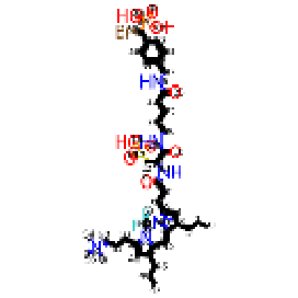 CCCC1=CC(CCC(=O)N[C@@H](CS(=O)(=O)O)C(=O)NCCCCC(=O)NCc2ccc(C(Br)P(=O)(O)O)cc2)=[N+]2C1=Cc1c(CCC)cc(CCC[N+](C)(C)C)n1[B-]2(F)F